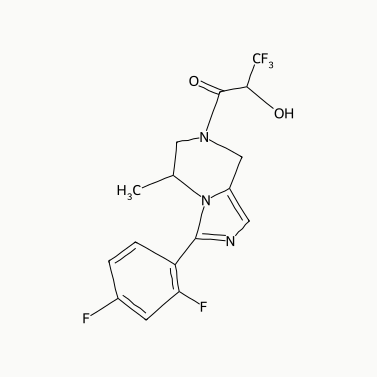 CC1CN(C(=O)C(O)C(F)(F)F)Cc2cnc(-c3ccc(F)cc3F)n21